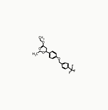 CCOC(=O)CC(OCC)c1ccc(OCc2ccc(C(F)(F)F)cc2)cc1